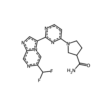 NC(=O)C1CCN(c2ccnc(-c3cnc4cnc(C(F)F)cn34)n2)C1